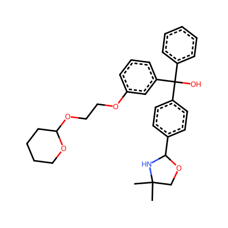 CC1(C)COC(c2ccc(C(O)(c3ccccc3)c3cccc(OCCOC4CCCCO4)c3)cc2)N1